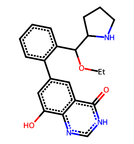 CCOC(c1ccccc1-c1cc(O)c2nc[nH]c(=O)c2c1)C1CCCN1